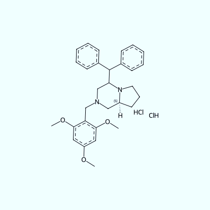 COc1cc(OC)c(CN2CC(C(c3ccccc3)c3ccccc3)N3CCC[C@H]3C2)c(OC)c1.Cl.Cl